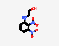 O=[N+]([O-])c1cccc(NCCO)c1[N+](=O)[O-]